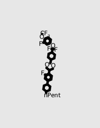 CCCCCC1CCC(c2ccc(C3COC(C4CCC(C(F)(F)Oc5ccc(OC(F)(F)F)c(F)c5)CC4)OC3)c(F)c2)CC1